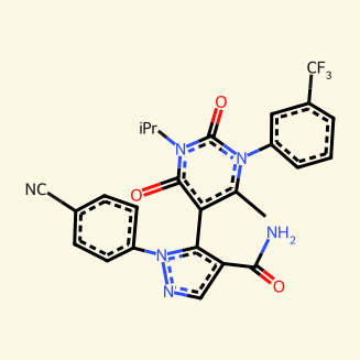 Cc1c(-c2c(C(N)=O)cnn2-c2ccc(C#N)cc2)c(=O)n(C(C)C)c(=O)n1-c1cccc(C(F)(F)F)c1